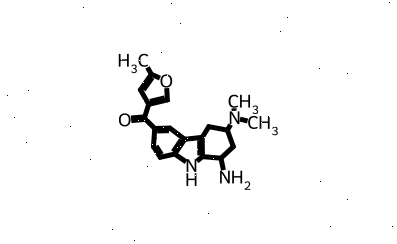 Cc1cc(C(=O)c2ccc3[nH]c4c(c3c2)CC(N(C)C)CC4N)co1